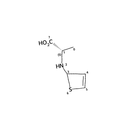 C[C@H](NC1C=CS1)C(=O)O